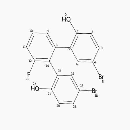 Oc1ccc(Br)cc1-c1cccc(F)c1-c1cc(Br)ccc1O